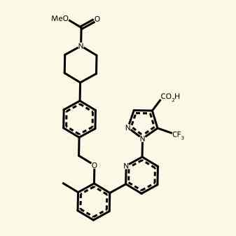 COC(=O)N1CCC(c2ccc(COc3c(C)cccc3-c3cccc(-n4ncc(C(=O)O)c4C(F)(F)F)n3)cc2)CC1